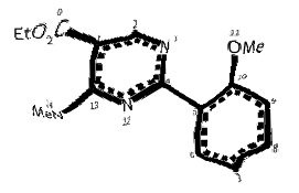 CCOC(=O)c1cnc(-c2ccccc2OC)nc1NC